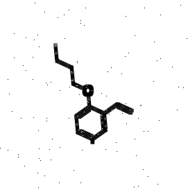 C=Cc1c[c]ccc1OCCCC